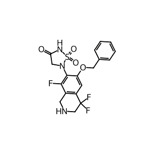 O=C1CN(c2c(OCc3ccccc3)cc3c(c2F)CNCC3(F)F)S(=O)(=O)N1